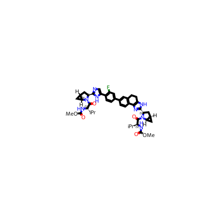 COC(=O)N[C@H](C(=O)N1[C@@H]2C[C@@H]2C[C@H]1c1ncc(-c2ccc(-c3ccc4c(c3)CCc3[nH]c([C@@H]5C[C@H]6C[C@H]6N5C(=O)[C@@H](NC(=O)OC)C(C)C)nc3-4)cc2F)[nH]1)C(C)C